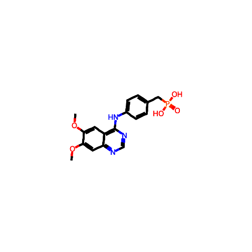 COc1cc2ncnc(Nc3ccc(CP(=O)(O)O)cc3)c2cc1OC